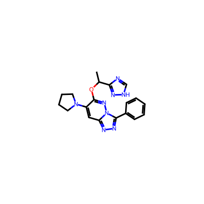 CC(Oc1nn2c(-c3ccccc3)nnc2cc1N1CCCC1)c1nc[nH]n1